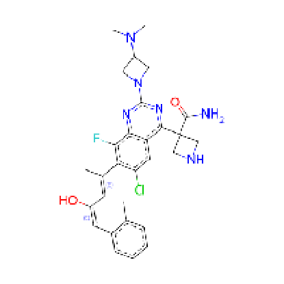 C/C(=C\C(O)=C/c1ccccc1C)c1c(Cl)cc2c(C3(C(N)=O)CNC3)nc(N3CC(N(C)C)C3)nc2c1F